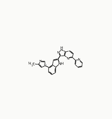 Cc1cn(-c2cccc3[nH]c(-c4n[nH]c5ccc(-c6ccccn6)nc45)cc23)cn1